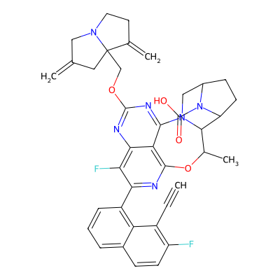 C#Cc1c(F)ccc2cccc(-c3nc4c5c(nc(OCC67CC(=C)CN6CCC7=C)nc5c3F)N3CC5CCC(C3C(C)O4)N5C(=O)O)c12